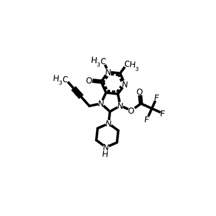 CC#CCN1c2c(nc(C)n(C)c2=O)N(OC(=O)C(F)(F)F)C1N1CCNCC1